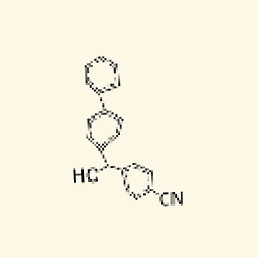 N#Cc1ccc(C(O)c2ccc(-c3ccccc3)cc2)cc1